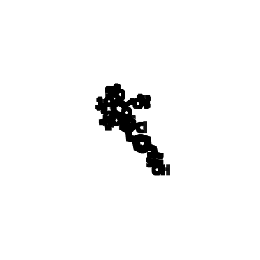 CC(C)(Cc1ccc(Cc2cc(C3(O)O[C@H](CO[Si](C)(C)C)[C@@H](O[Si](C)(C)C)[C@H](O[Si](C)(C)C)[C@H]3O[Si](C)(C)C)sc2Cl)cc1)[Si](C)(C)O